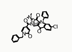 CN(C)OC(=O)c1c(CNC(=O)c2ccn(Cc3ccccc3)c(=O)c2)c(=O)c2ccc(Cl)cc2n1-c1ccccc1